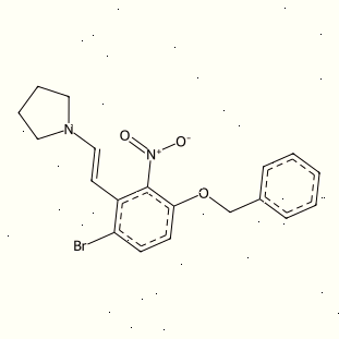 O=[N+]([O-])c1c(OCc2ccccc2)ccc(Br)c1/C=C/N1CCCC1